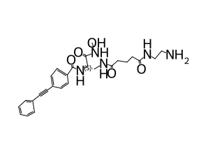 NCCNC(=O)CCCC(=O)NC[C@H](NC(=O)c1ccc(C#Cc2ccccc2)cc1)C(=O)NO